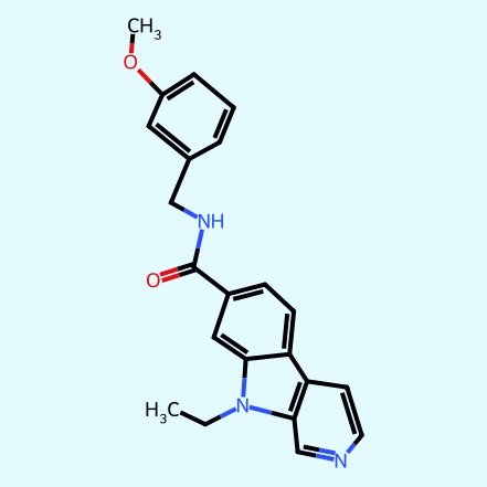 CCn1c2cnccc2c2ccc(C(=O)NCc3cccc(OC)c3)cc21